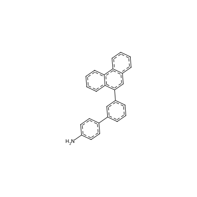 Nc1ccc(-c2cccc(-c3cc4ccccc4c4ccccc34)c2)cc1